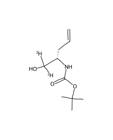 [2H]C([2H])(O)[C@H](CC=C)NC(=O)OC(C)(C)C